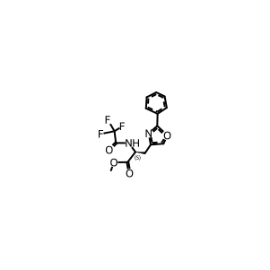 COC(=O)[C@H](Cc1coc(-c2ccccc2)n1)NC(=O)C(F)(F)F